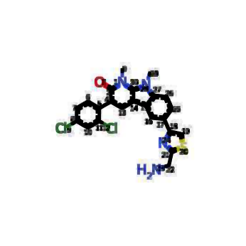 Cn1c(=O)c(-c2ccc(Cl)cc2Cl)cc2c3cc(-c4csc(CN)n4)ccc3n(C)c21